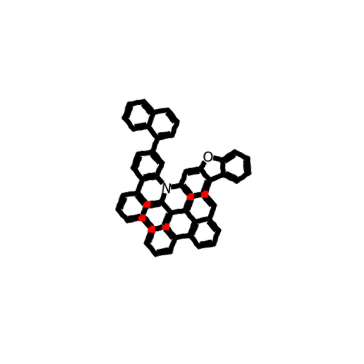 c1ccc(-c2ccc(-c3cccc4ccccc34)cc2N(c2ccc3c(c2)oc2ccccc23)c2ccccc2-c2cccc3cccc(-c4ccccc4)c23)cc1